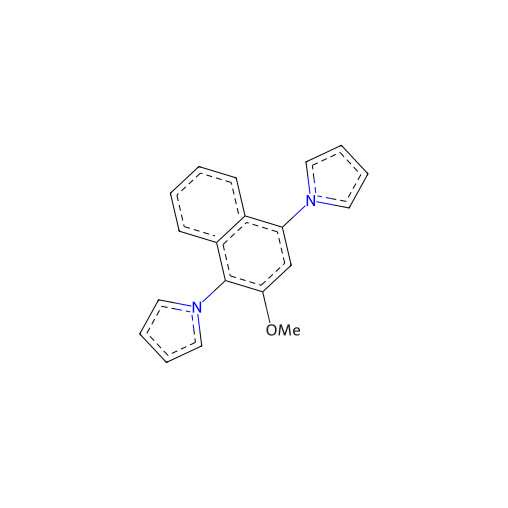 COc1cc(-n2cccc2)c2ccccc2c1-n1cccc1